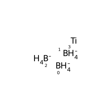 [BH4-].[BH4-].[BH4-].[Ti]